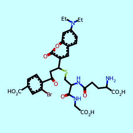 CCN(CC)c1ccc2cc(C(CC(=O)c3ccc(C(=O)O)cc3Br)SCC(NC(=O)CCC(N)C(=O)O)C(=O)NCC(=O)O)c(=O)oc2c1